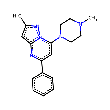 Cc1cc2nc(-c3ccccc3)cc(N3CCN(C)CC3)n2n1